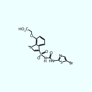 Cn1cc(S(=O)(=O)NC(=O)Nc2ncc(Br)s2)c2cccc(OCC(=O)O)c21